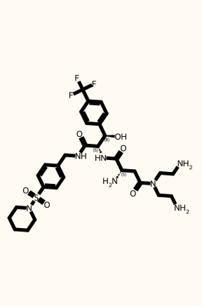 NCCN(CCN)C(=O)C[C@H](N)C(=O)N[C@H](C(=O)NCc1ccc(S(=O)(=O)N2CCCCC2)cc1)[C@H](O)c1ccc(C(F)(F)F)cc1